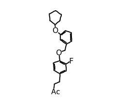 CC(=O)CCc1ccc(OCc2cccc(OC3CCCCC3)c2)c(F)c1